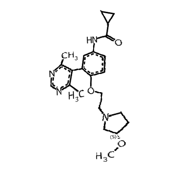 CO[C@H]1CCN(CCOc2ccc(NC(=O)C3CC3)cc2-c2c(C)ncnc2C)C1